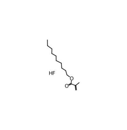 C=C(C)C(=O)OCCCCCCCCCC.F